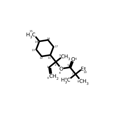 C=CC(C)(OC(=O)C(C)(C)CC)C1CCC(C)CC1